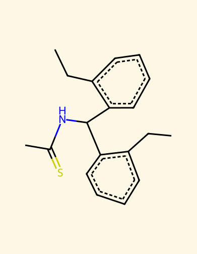 CCc1ccccc1C(NC(C)=S)c1ccccc1CC